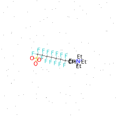 CC(F)(F)C(F)(F)C(F)(F)C(F)(F)C(F)(F)C(F)(F)C(F)(F)S(=O)(=O)[O-].CC[N+](CC)(CC)CC